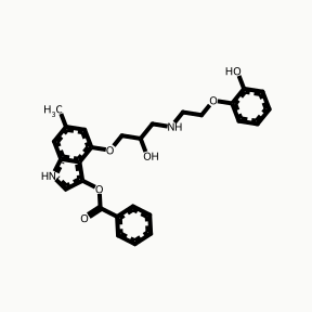 Cc1cc(OCC(O)CNCCOc2ccccc2O)c2c(OC(=O)c3ccccc3)c[nH]c2c1